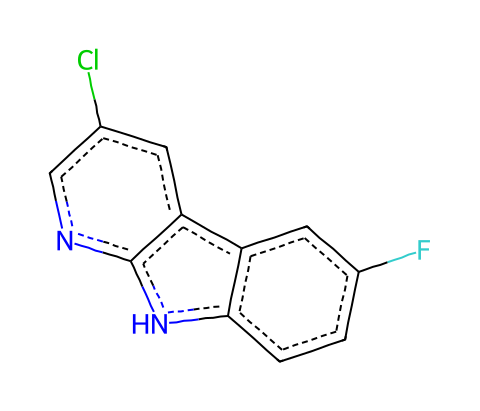 Fc1ccc2[nH]c3ncc(Cl)cc3c2c1